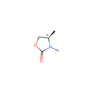 C[C@@H]1COC(=O)N1C